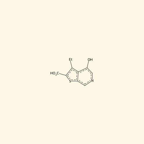 CCc1c(C(=O)O)sc2cncc(O)c12